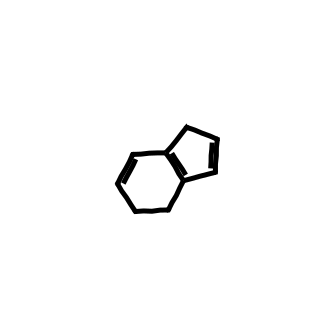 [CH]1C=CC2=C1C=CCC2